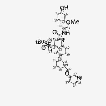 COC[C@H](Cc1ccc(O)cc1)NC(=O)c1cc(NS(=O)(=O)C(C)(C)C)c2cc(-c3cccc(COc4cccnc4)c3)ccc2n1